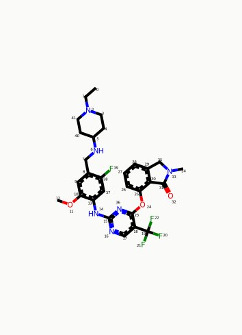 CCN1CCC(NCc2cc(OC)c(Nc3ncc(C(F)(F)F)c(Oc4cccc5c4C(=O)N(C)C5)n3)cc2F)CC1